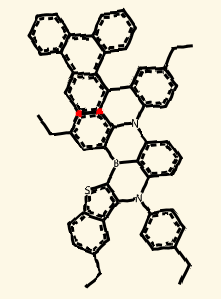 CCc1ccc(N2c3cccc4c3B(c3cc(CC)ccc3N4c3ccc(CC)cc3-c3cccc4c5ccccc5c5ccccc5c34)c3sc4ccc(CC)cc4c32)cc1